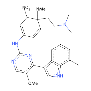 CNC1(CCN(C)C)C=CC(Nc2ncc(OC)c(-c3c[nH]c4c(C)cccc34)n2)=CC1[N+](=O)[O-]